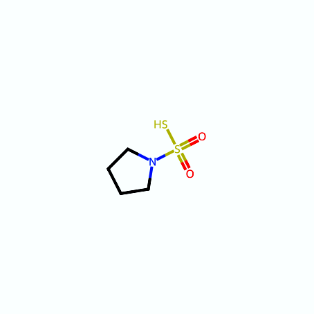 O=S(=O)(S)N1CCCC1